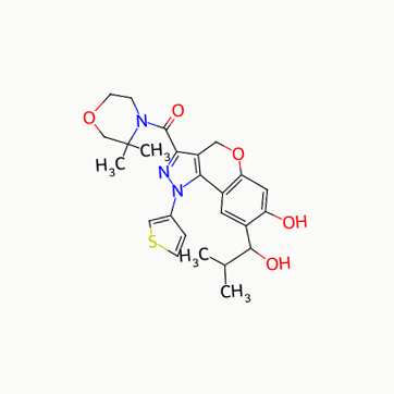 CC(C)C(O)c1cc2c(cc1O)OCc1c(C(=O)N3CCOCC3(C)C)nn(-c3ccsc3)c1-2